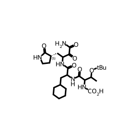 CC(OC(C)(C)C)C(NC(=O)O)C(=O)NC(CC1CCCCC1)C(=O)NC(C[C@@H]1CCNC1=O)C(=O)C(N)=O